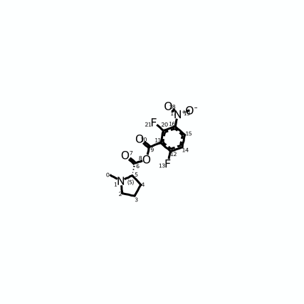 CN1CCC[C@H]1C(=O)OC(=O)c1c(F)ccc([N+](=O)[O-])c1F